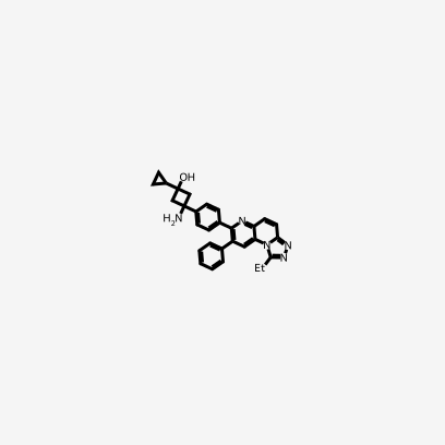 CCc1nnc2ccc3nc(-c4ccc(C5(N)CC(O)(C6CC6)C5)cc4)c(-c4ccccc4)cc3n12